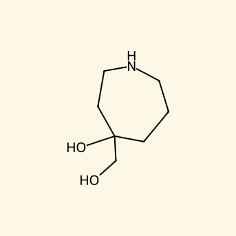 OCC1(O)CCCNCC1